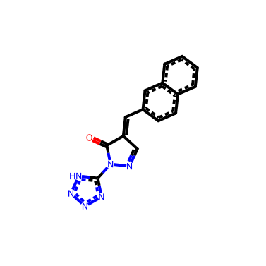 O=C1/C(=C/c2ccc3ccccc3c2)C=NN1c1nnn[nH]1